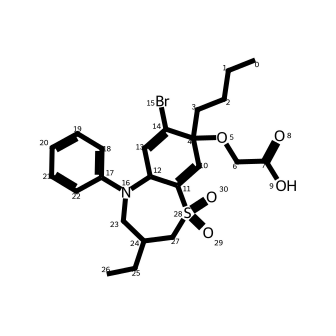 CCCCC1(OCC(=O)O)C=C2C(C=C1Br)N(c1ccccc1)CC(CC)CS2(=O)=O